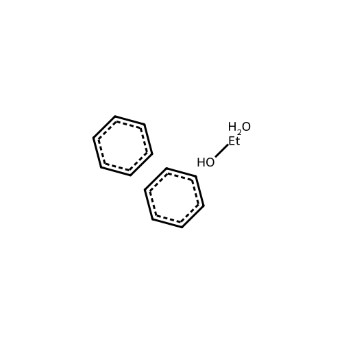 CCO.O.c1ccccc1.c1ccccc1